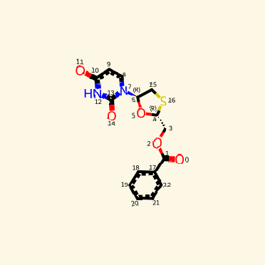 O=C(OC[C@@H]1O[C@@H](n2ccc(=O)[nH]c2=O)CS1)c1ccccc1